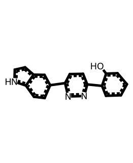 Oc1ccccc1-c1ccc(-c2ccc3[nH]ccc3c2)nn1